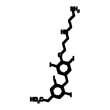 NCCCNCCCOc1c(I)cc(Cc2c(I)cc(CC(=O)O)cc2I)cc1I